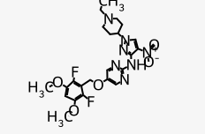 CCN1CCC(n2cc([N+](=O)[O-])c(Nc3ncc(OCc4c(F)c(OC)cc(OC)c4F)cn3)n2)CC1